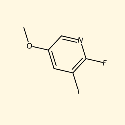 COc1cnc(F)c(I)c1